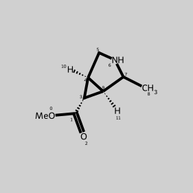 COC(=O)[C@@H]1[C@H]2CNC(C)[C@H]21